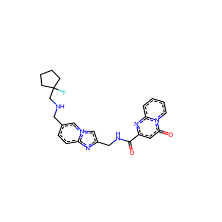 O=C(NCc1cn2cc(CNCC3(F)CCCC3)ccc2n1)c1cc(=O)n2ccccc2n1